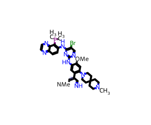 CN/C=C(\C=N)c1cc(Nc2ncc(Br)c(Nc3ccc4nccnc4c3P(C)C)n2)c(OC)cc1N1CCC2(CCN(C)CC2)CC1